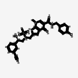 Cn1cc(C(=O)NCc2ccc(Cl)cc2)c(=O)c2cc(CN(C[C@@H](O)c3cccc(C#N)c3)S(C)(=O)=O)sc21